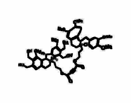 COc1ccc(CC2c3cc(OC)c(OC)cc3CC[N+]2(C)CCCOC(=O)C#CC(=O)OCCC[N+]2(C)CCc3cc(CO)c(CO)c(OC)c3C2Cc2cc(CO)c(CO)c(OC)c2)cc1OC